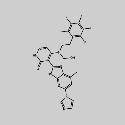 Cc1cc(-n2ccnc2)cc2[nH]c(-c3c(N(CO)CCc4c(F)c(F)c(F)c(F)c4F)cc[nH]c3=O)nc12